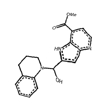 COC(=O)c1ccnc2cc(C(O)N3CCCc4ccccc43)[nH]c12